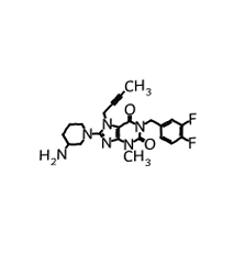 CC#CCn1c(N2CCCC(N)C2)nc2c1c(=O)n(Cc1ccc(F)c(F)c1)c(=O)n2C